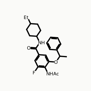 CCC1CCC(NC(=O)c2cc(F)c(NC(C)=O)c(OC(C)c3ccccc3)c2)CC1